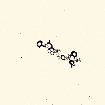 Cc1cc2c(s1)Nc1ccccc1N=C2N1CC[N+](C)(COC(=O)NC(CC(C)C)C(=O)OCc2ccccc2)CC1